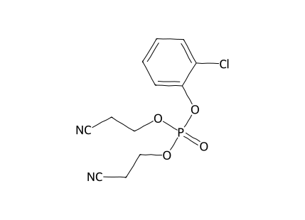 N#CCCOP(=O)(OCCC#N)Oc1ccccc1Cl